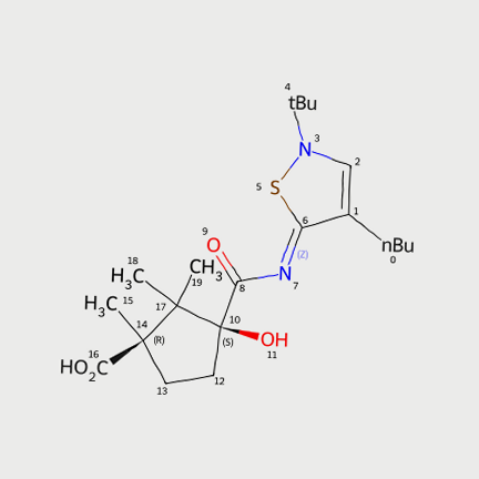 CCCCc1cn(C(C)(C)C)s/c1=N\C(=O)[C@]1(O)CC[C@@](C)(C(=O)O)C1(C)C